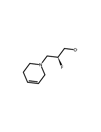 [O]C[C@@H](F)CN1CC=CCC1